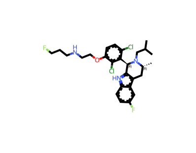 CC(C)CN1[C@H](c2c(Cl)ccc(OCCNCCCF)c2Cl)c2[nH]c3ccc(F)cc3c2C[C@H]1C